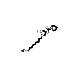 CCCCCCCCCCCCCCCCCCOCC(CO)OC(=O)N1CCCCC1